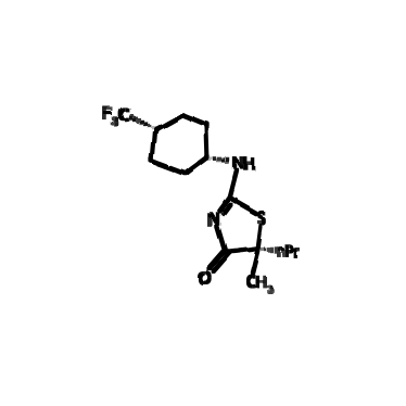 CCC[C@@]1(C)SC(N[C@H]2CC[C@@H](C(F)(F)F)CC2)=NC1=O